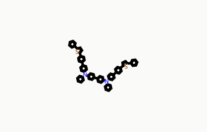 c1ccc(-c2ccc(-c3ccc(-c4ccc(N(c5ccccc5)c5ccc(-c6ccc(N(c7ccccc7)c7ccc(-c8ccc(-c9ccc(-c%10ccccc%10)s9)cc8)cc7)cc6)cc5)cc4)cc3)s2)cc1